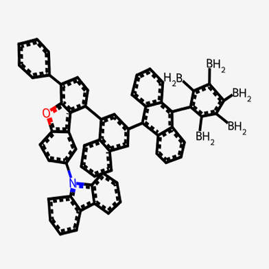 Bc1c(B)c(B)c(-c2c3ccccc3c(-c3cc(-c4ccc(-c5ccccc5)c5oc6ccc(-n7c8ccccc8c8ccccc87)cc6c45)c4ccccc4c3)c3ccccc23)c(B)c1B